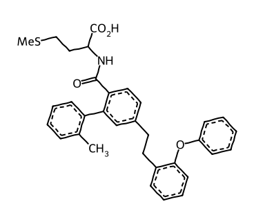 CSCCC(NC(=O)c1ccc(CCc2ccccc2Oc2ccccc2)cc1-c1ccccc1C)C(=O)O